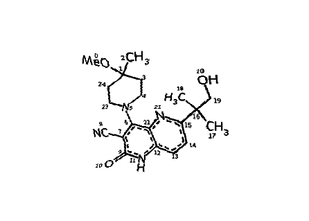 COC1(C)CCN(c2c(C#N)c(=O)[nH]c3ccc(C(C)(C)CO)nc23)CC1